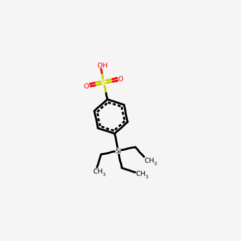 CC[Si](CC)(CC)c1ccc(S(=O)(=O)O)cc1